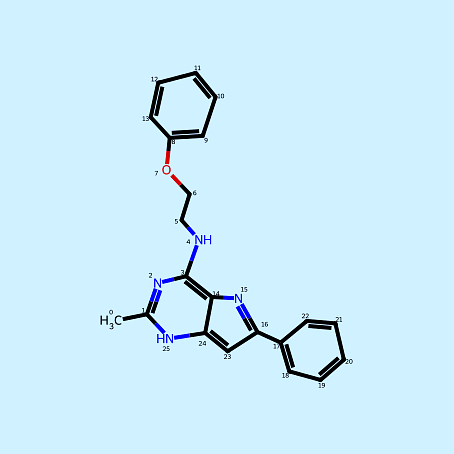 Cc1nc(NCCOc2ccccc2)c2nc(-c3ccccc3)cc-2[nH]1